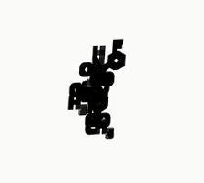 COC(=O)c1csc(NC(=O)[C@H](CC(C)C)N2C(=O)NC(c3cccc(F)c3)C2=O)n1